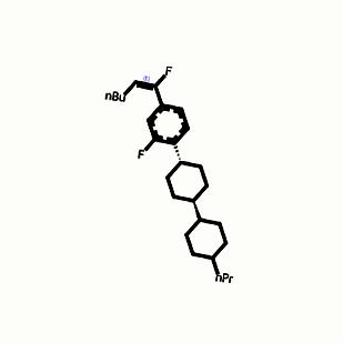 CCCC/C=C(/F)c1ccc([C@H]2CC[C@H](C3CCC(CCC)CC3)CC2)c(F)c1